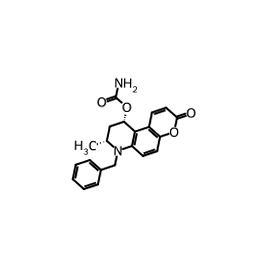 C[C@@H]1C[C@H](OC(N)=O)c2c(ccc3oc(=O)ccc23)N1Cc1ccccc1